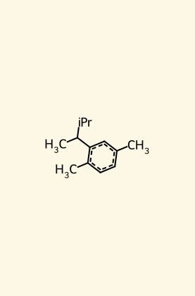 Cc1ccc(C)c(C(C)C(C)C)c1